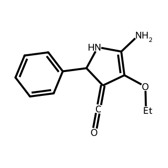 CCOC1=C(N)NC(c2ccccc2)C1=C=O